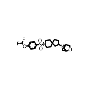 O=S(=O)(c1ccc(OC(F)F)cc1)N1CCC2(CCC(N3CC4CC3CO4)C2)CC1